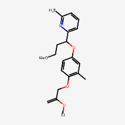 Bc1cccc(C(CCOC)Oc2ccc(OCC(=C)OCC)c(C)c2)n1